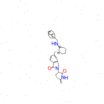 C=C1CCC(N2Cc3cc(C[C@H]4CCCC[C@@H]4NCC45CCC(CC4)CC5)ccc3C2=O)C(=O)N1